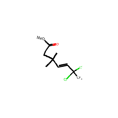 COC(=O)CC(C)(C)C=CC(Cl)(Cl)C(F)(F)F